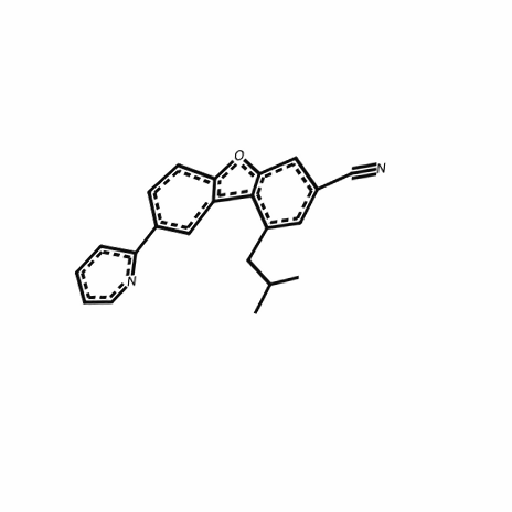 CC(C)Cc1cc(C#N)cc2oc3ccc(-c4ccccn4)cc3c12